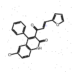 O=C(/C=C/c1ccco1)c1c(-c2ccccc2)c2cc(Cl)ccc2[nH]c1=O